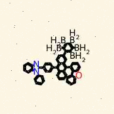 Bc1c(B)c(B)c(-c2ccc3c(-c4ccc(-c5nc6ccccc6n5-c5ccccc5)cc4)c4ccccc4c(-c4cccc5oc6ccccc6c45)c3c2)c(B)c1B